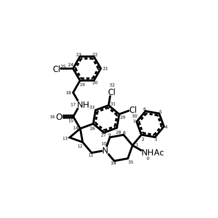 CC(=O)NC1(c2ccccc2)CCN(CC2CC2(C(=O)NCc2ccccc2Cl)c2ccc(Cl)c(Cl)c2)CC1